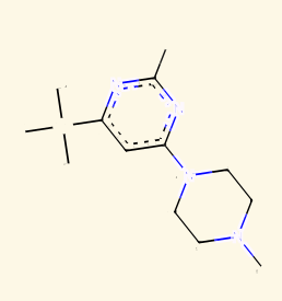 CCc1nc(N2CCN(C)CC2)c[c]([Sn]([CH3])([CH3])[CH3])n1